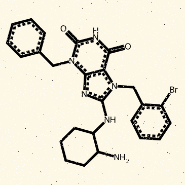 NC1CCCCC1Nc1nc2c(c(=O)[nH]c(=O)n2Cc2ccccc2)n1Cc1ccccc1Br